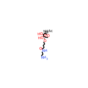 CC(=O)N[C@H]1[C@H]2OC[C@](COCCCCC(=O)NCCCN)(O2)[C@H](O)[C@@H]1O